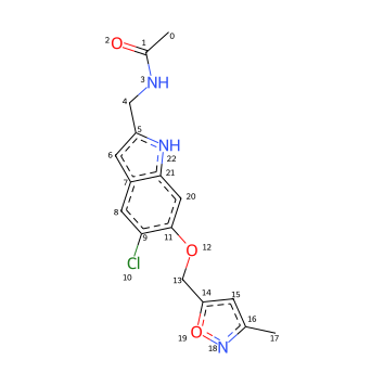 CC(=O)NCc1cc2cc(Cl)c(OCc3cc(C)no3)cc2[nH]1